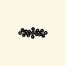 c1ccc(-c2c3c4cccc5c6c(N(c7ccccc7)c7cccc8c7oc7c(C9CCCCC9)cccc78)cccc6n(c3c(-c3ccccc3)c3c6cccc7c8c(N(c9ccccc9)c9cccc%10c9oc9c(C%11CCCCC%11)cccc9%10)cccc8n(c23)c76)c54)cc1